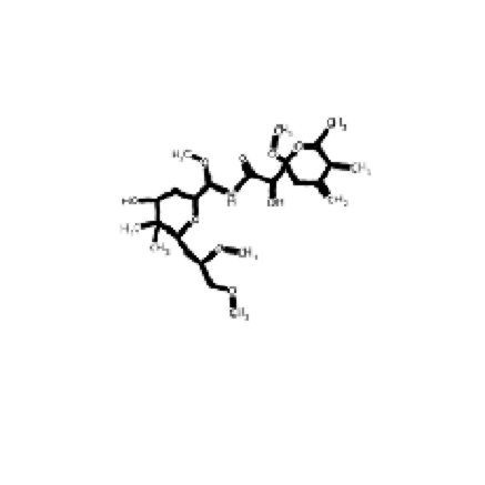 C=C1CC(OC)(C(O)C(=O)NC(OC)C2CC(O)C(C)(C)C(CC(COC)OC)O2)OC(C)C1C